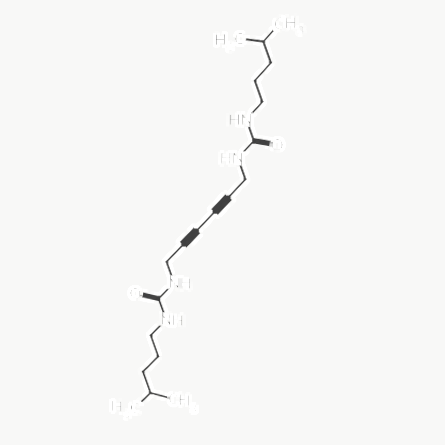 CC(C)CCCNC(=O)NCC#CC#CCNC(=O)NCCCC(C)C